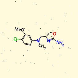 COc1cc(N(C)CC2COC(N)=N2)ccc1Cl